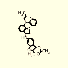 CCCN(c1ccccn1)c1cccc2c1OC[C@H]2Nc1ccc2c(c1)OC(C)[C@H]2OC(C)=O